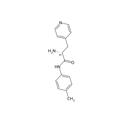 Cc1ccc(NC(=O)[C@H](N)Cc2ccncc2)cc1